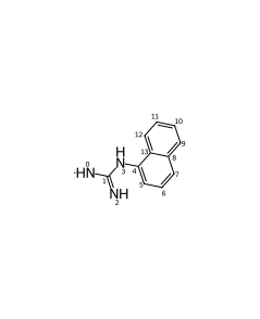 [NH]C(=N)Nc1cccc2ccccc12